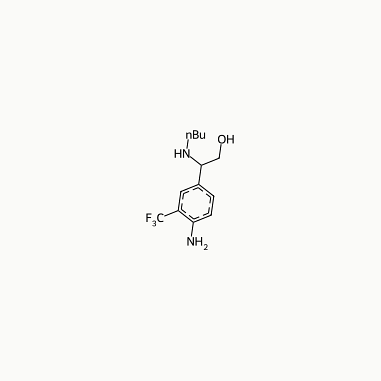 CCCCNC(CO)c1ccc(N)c(C(F)(F)F)c1